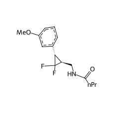 CCCC(=O)NC[C@@H]1[C@@H](c2cccc(OC)c2)C1(F)F